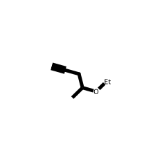 C#CCC(C)OCC